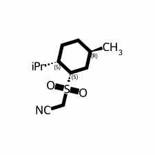 CC(C)[C@@H]1CC[C@@H](C)C[C@@H]1S(=O)(=O)CC#N